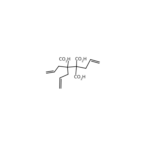 C=CCC(CC=C)(C(=O)O)C(CC=C)(C(=O)O)C(=O)O